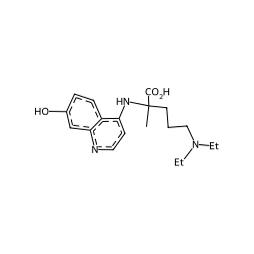 CCN(CC)CCCC(C)(Nc1ccnc2cc(O)ccc12)C(=O)O